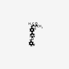 CC(=O)NC(C)Cc1ccc(-c2cnc(OCc3cccc(F)c3)nc2)cc1